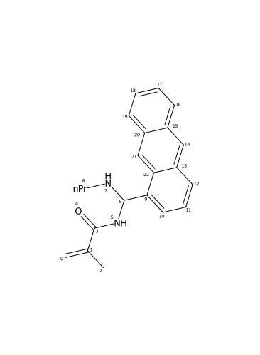 C=C(C)C(=O)NC(NCCC)c1cccc2cc3ccccc3cc12